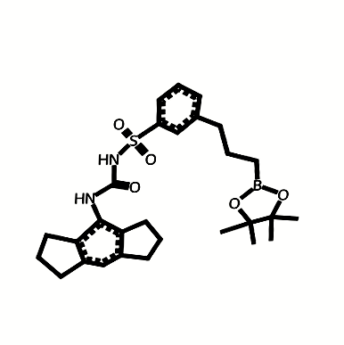 CC1(C)OB(CCCc2cccc(S(=O)(=O)NC(=O)Nc3c4c(cc5c3CCC5)CCC4)c2)OC1(C)C